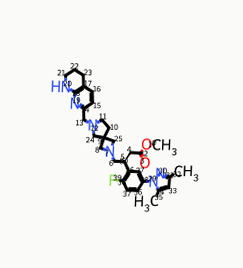 COC(=O)C[C@H](CN1CC2(CCN(Cc3ccc4c(n3)NCCC4)C2)C1)c1cc(-n2nc(C)cc2C)ccc1F